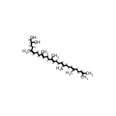 CC(C)=CCC/C(C)=C/CC/C(C)=C/CC/C=C(\C)CC/C=C(\C)CCC=C(C)CCC(O)CO